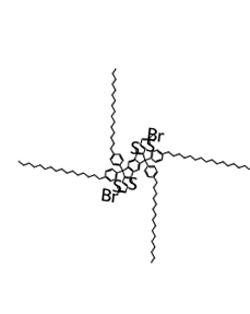 CCCCCCCCCCCCCCCCc1ccc(C2(c3ccc(CCCCCCCCCCCCCCCC)cc3)c3cc4c(cc3-c3sc5cc(Br)sc5c32)C(c2ccc(CCCCCCCCCCCCCCCC)cc2)(c2ccc(CCCCCCCCCCCCCCCC)cc2)c2c-4sc3cc(Br)sc23)cc1